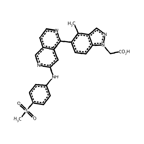 Cc1c(-c2nccc3cnc(Nc4ccc(S(C)(=O)=O)cc4)cc23)ccc2c1cnn2CC(=O)O